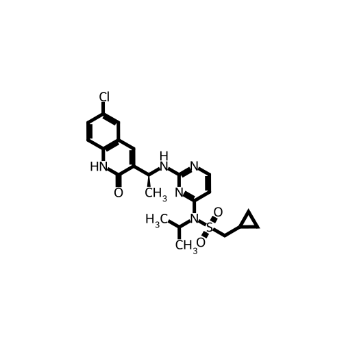 CC(C)N(c1ccnc(N[C@@H](C)c2cc3cc(Cl)ccc3[nH]c2=O)n1)S(=O)(=O)CC1CC1